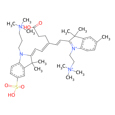 Cc1ccc2c(c1)C(C)(C)C(/C=C/C(=C/C=C1/N(CCC[N+](C)(C)C)c3ccc(S(=O)(=O)O)cc3C1(C)C)CCC(=O)O)=[N+]2CC[N+](C)(C)C